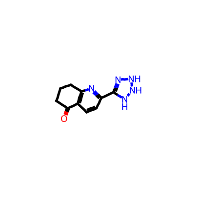 O=C1CCCc2nc(C3=NNNN3)ccc21